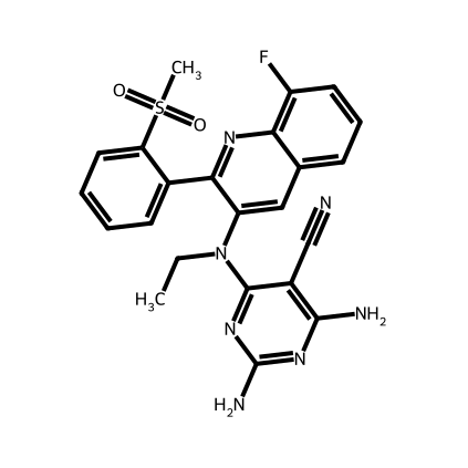 CCN(c1cc2cccc(F)c2nc1-c1ccccc1S(C)(=O)=O)c1nc(N)nc(N)c1C#N